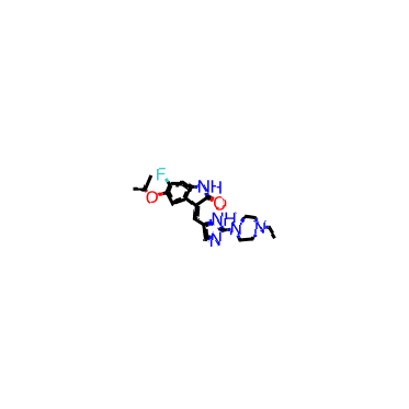 CCN1CCN(c2ncc(C=C3C(=O)Nc4cc(F)c(OC(C)C)cc43)[nH]2)CC1